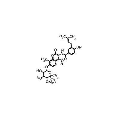 COC1C(O)C(O)[C@H](Oc2ccc3c(O)c(NC(=O)c4ccc(O)c(CC=C(C)C)c4)c(=O)oc3c2C)OC1(C)C